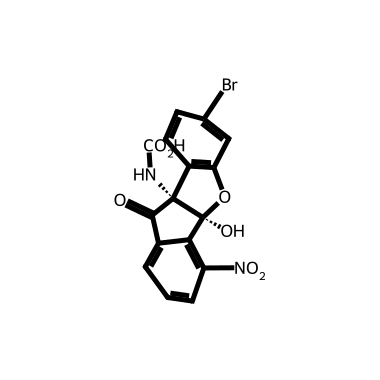 O=C(O)N[C@@]12C(=O)c3cccc([N+](=O)[O-])c3[C@]1(O)Oc1cc(Br)ccc12